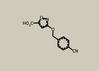 N#Cc1ccc(COc2cc(C(=O)O)on2)cc1